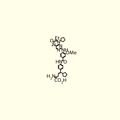 CC[C@@H]1C(=O)N(C)c2cnc(Nc3ccc(C(=O)Nc4ccc(/C(=C/C[C@H](N)C(=O)O)C5CCCC5)cc4)cc3OC)nc2N1C1CCCC1